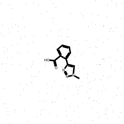 Cn1cc(-c2ccccc2C(=O)O)nn1